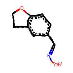 ON=Cc1ccc2c(c1)CCO2